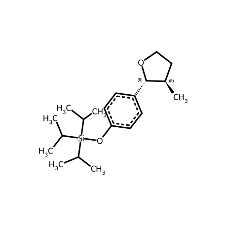 CC(C)[Si](Oc1ccc([C@@H]2OCC[C@H]2C)cc1)(C(C)C)C(C)C